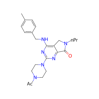 CCCN1Cc2c(NCc3ccc(C)cc3)nc(N3CCN(C(C)=O)CC3)nc2C1=O